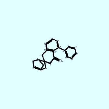 O=C1CC2(CC3=CCC2C3)Cc2cccc(-c3ccccc3)c21